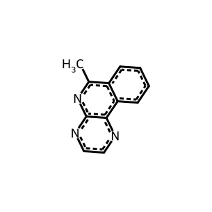 Cc1nc2nccnc2c2ccccc12